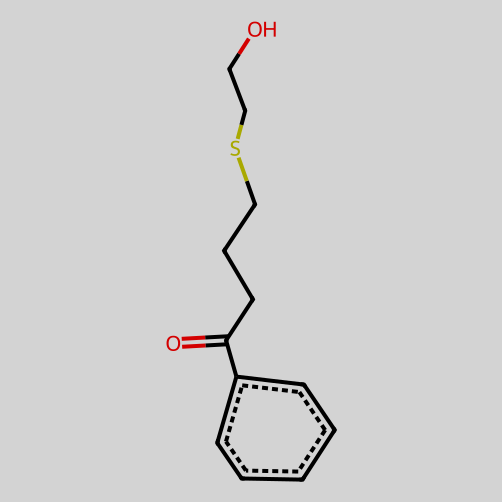 O=C(CCCSCCO)c1ccccc1